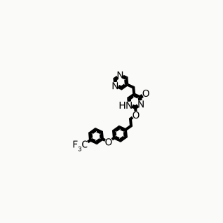 O=c1nc(OCCc2ccc(Oc3cccc(C(F)(F)F)c3)cc2)[nH]cc1Cc1cncnc1